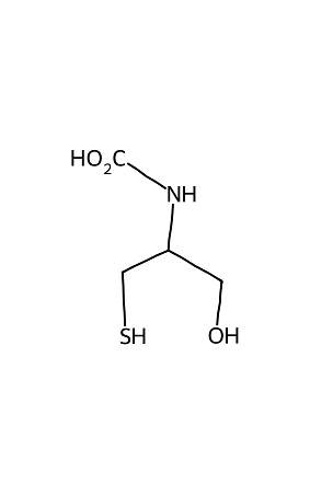 O=C(O)NC(CO)CS